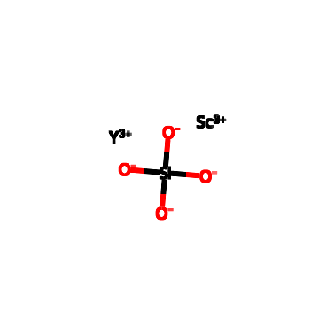 [O-][Si]([O-])([O-])[O-].[Sc+3].[Y+3]